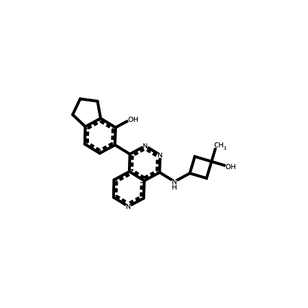 CC1(O)CC(Nc2nnc(-c3ccc4c(c3O)CCC4)c3ccncc23)C1